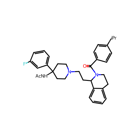 CC(=O)NC1(c2cccc(F)c2)CCN(CCC2c3ccccc3CCN2C(=O)c2ccc(C(C)C)cc2)CC1